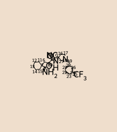 N#CC1(NC(=O)[CH]CC2(C(N)=O)CCCCC2)CCN(Cc2cccc(C(F)(F)F)c2)C1